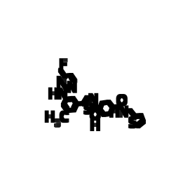 Cc1cc(Nc2nccc(CF)n2)cc(-c2cnc(C3(O)CCC(C(=O)NCc4cccs4)CC3)s2)c1